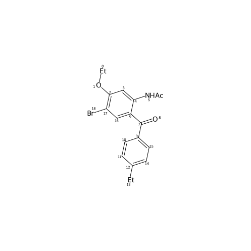 CCOc1cc(NC(C)=O)c(C(=O)c2ccc(CC)cc2)cc1Br